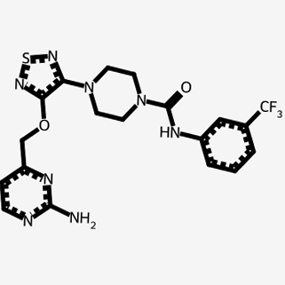 Nc1nccc(COc2nsnc2N2CCN(C(=O)Nc3cccc(C(F)(F)F)c3)CC2)n1